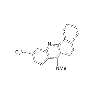 CNc1c2ccc([N+](=O)[O-])cc2nc2c1ccc1ccccc12